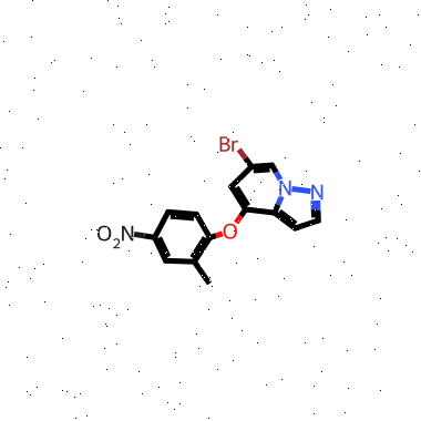 Cc1cc([N+](=O)[O-])ccc1Oc1cc(Br)cn2nccc12